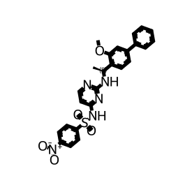 COc1cc(-c2ccccc2)ccc1[C@H](C)Nc1nccc(NS(=O)(=O)c2ccc([N+](=O)[O-])cc2)n1